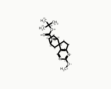 COc1ncc2c(n1)CCC21CC2CCC1N2C(=O)OC(C)(C)C